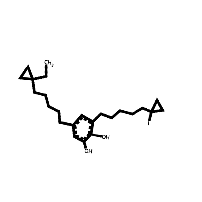 CCC1(CCCCCc2cc(O)c(O)c(CCCCCC3(I)CC3)c2)CC1